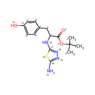 CC(C)(C)OC(=O)C(Cc1ccc(O)cc1)Nc1nnc(N)s1